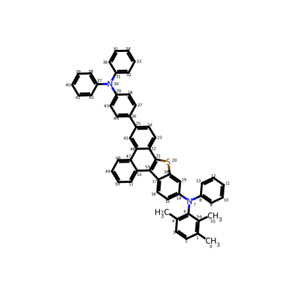 Cc1ccc(C)c(N(c2ccccc2)c2ccc3c(c2)sc2c4ccc(-c5ccc(N(c6ccccc6)c6ccccc6)cc5)cc4c4ccccc4c32)c1C